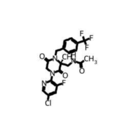 CC(=O)NC[C@]1(C)C(=O)N(c2ncc(Cl)cc2F)CC(=O)N1Cc1ccc(C(F)(F)F)cc1